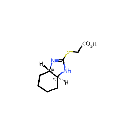 O=C(O)CSC1=N[C@H]2CCCC[C@@H]2N1